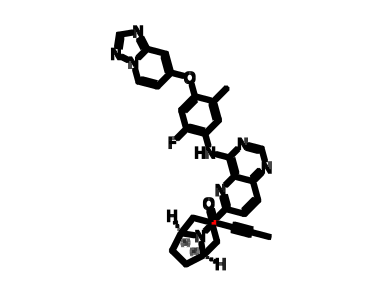 CC#CC(=O)N1[C@@H]2CC[C@H]1CC(c1ccc3ncnc(Nc4cc(C)c(Oc5ccn6ncnc6c5)cc4F)c3n1)C2